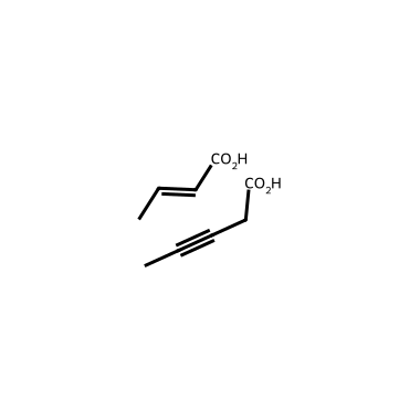 CC#CCC(=O)O.CC=CC(=O)O